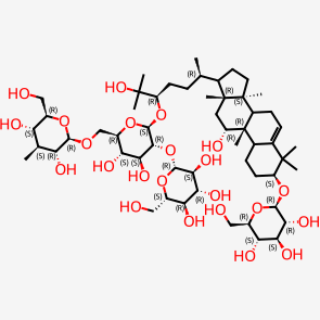 C[C@@H]1[C@@H](O)[C@H](OC[C@H]2O[C@@H](O[C@H](CC[C@@H](C)C3CC[C@@]4(C)C5CC=C6C(CC[C@H](O[C@@H]7O[C@H](CO)[C@@H](O)[C@H](O)[C@H]7O)C6(C)C)[C@]5(C)[C@H](O)C[C@]34C)C(C)(C)O)[C@H](O[C@H]3O[C@@H](CO)[C@H](O)[C@@H](O)[C@@H]3O)[C@@H](O)[C@@H]2O)O[C@H](CO)[C@H]1O